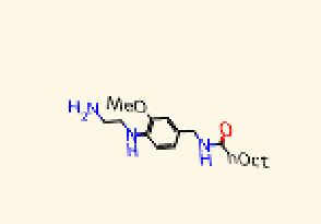 CCCCCCCCC(=O)NCc1ccc(NCCN)c(OC)c1